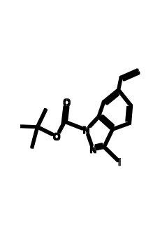 C=Cc1ccc2c(I)nn(C(=O)OC(C)(C)C)c2c1